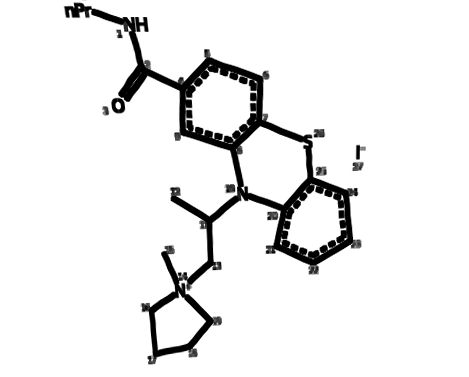 CCCNC(=O)c1ccc2c(c1)N(C(C)C[N+]1(C)CCCC1)c1ccccc1S2.[I-]